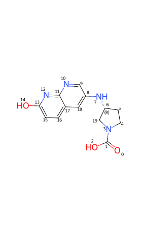 O=C(O)N1CC[C@@H](Nc2cnc3nc(O)ccc3c2)C1